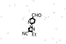 CCc1nn(-c2ccc(C=O)cn2)cc1C#N